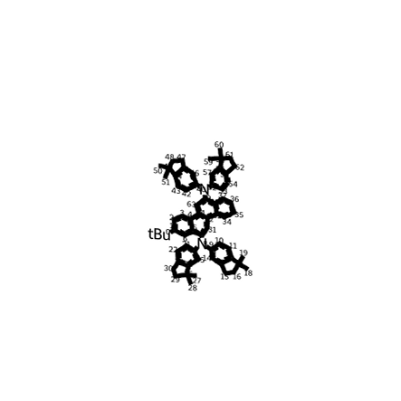 CC(C)(C)c1ccc2c(c1)c(N(c1ccc3c(c1)CCC3(C)C)c1ccc3c(c1)C(C)(C)CC3)cc1c3ccccc3c(N(c3ccc4c(c3)CCC4(C)C)c3ccc4c(c3)C(C)(C)CC4)cc21